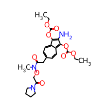 CCOC(=O)Oc1c2ccc(CC(=O)N(C)OCC(=O)N3CCCC3)ccc-2c(OC(=O)OCC)c1N